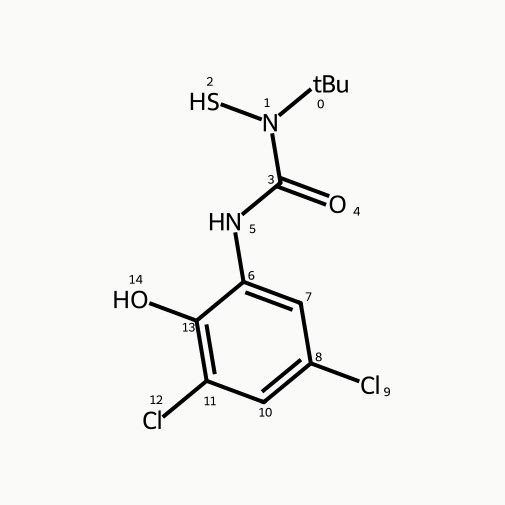 CC(C)(C)N(S)C(=O)Nc1cc(Cl)cc(Cl)c1O